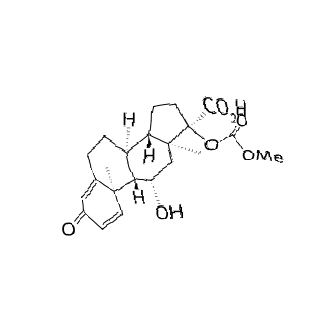 COC(=O)O[C@]1(C(=O)O)CC[C@H]2[C@@H]3CCC4=CC(=O)C=C[C@]4(C)[C@H]3[C@@H](O)C[C@@]21C